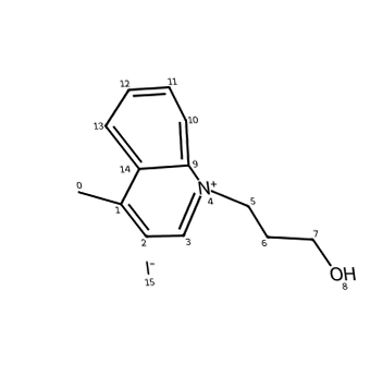 Cc1cc[n+](CCCO)c2ccccc12.[I-]